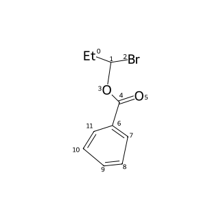 CCC(Br)OC(=O)c1ccccc1